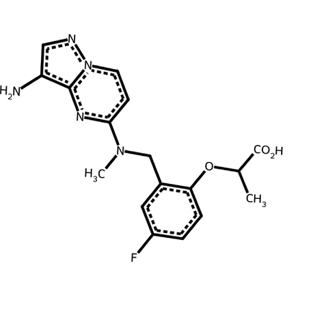 CC(Oc1ccc(F)cc1CN(C)c1ccn2ncc(N)c2n1)C(=O)O